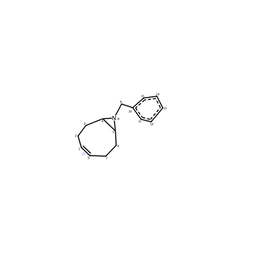 C1=C\CCC2C(CC/1)N2Cc1ccccc1